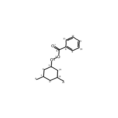 CC1C[C](OOC(=O)c2ccccc2)CC(C)C1